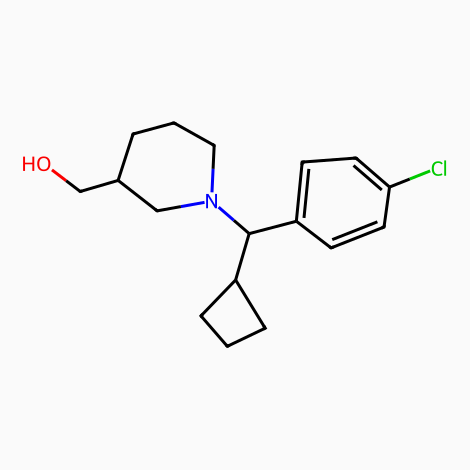 OCC1CCCN(C(c2ccc(Cl)cc2)C2CCC2)C1